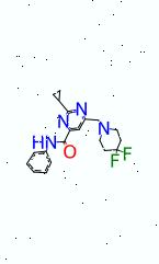 O=C(Nc1ccccc1)c1cc(CN2CCC(F)(F)CC2)nc(C2CC2)n1